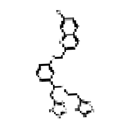 Clc1ccc2ccc(COc3cccc(C(Cc4nnn[nH]4)SCCc4nnn[nH]4)c3)nc2c1